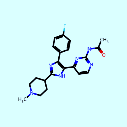 CC(=O)Nc1nccc(-c2[nH]c(C3CCN(C)CC3)nc2-c2ccc(F)cc2)n1